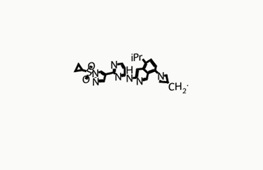 [CH2]C1CN(c2ccc(C(C)C)c3cc(Nc4ccnc(-c5cnn(S(=O)(=O)C6CC6)c5)n4)ncc23)C1